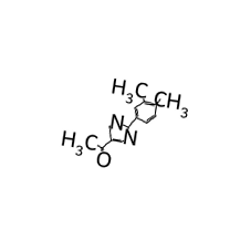 CC(=O)c1cnc(-c2ccc(C)c(C)c2)nc1